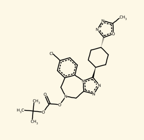 Cc1nnc([C@H]2CC[C@H](c3nnc4n3-c3ccc(Cl)cc3CN(OC(=O)OC(C)(C)C)C4)CC2)o1